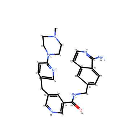 CN1CCN(c2ccc(Cc3cncc(C(=O)NCc4ccc5c(N)nccc5c4)c3)cn2)CC1